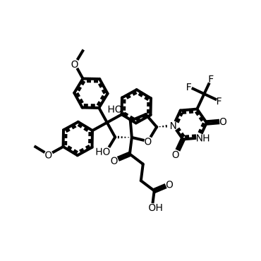 COc1ccc(C(c2ccccc2)(c2ccc(OC)cc2)C(O)[C@@]2(C(=O)CCC(=O)O)O[C@@H](n3cc(C(F)(F)F)c(=O)[nH]c3=O)C[C@@H]2O)cc1